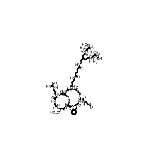 CCOCCNC(=O)[C@@H]1CSCC(=O)N[C@@H](CCCCNC(=O)CCCC(=O)NCCC(CCNC(C)(C)/C(C)=N\O)CCNC(C)(C)/C(C)=N\O)C(=O)N[C@H]2CSSC[C@H](NC(=O)[C@H](CC(=O)O)NC(=O)CNC(=O)[C@H](CCCNC(=N)N)NC2=O)C(=O)N[C@@H](Cc2ccccc2)C(=O)N1